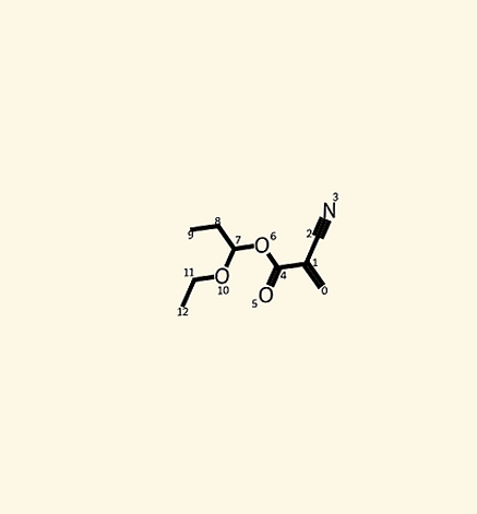 C=C(C#N)C(=O)OC(CC)OCC